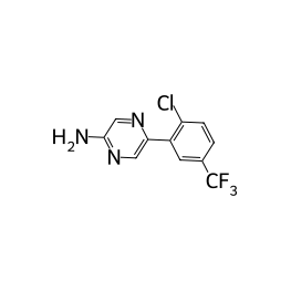 Nc1cnc(-c2cc(C(F)(F)F)ccc2Cl)cn1